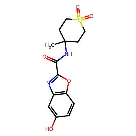 CC1(NC(=O)c2nc3cc(O)ccc3o2)CCS(=O)(=O)CC1